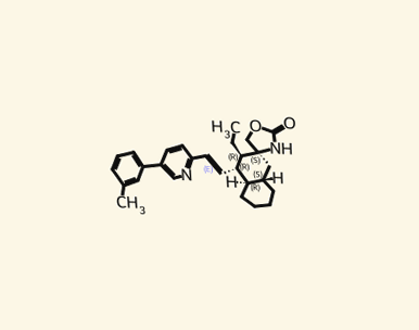 CC[C@@H]1[C@@H](/C=C/c2ccc(-c3cccc(C)c3)cn2)[C@@H]2CCCC[C@H]2C[C@@]12COC(=O)N2